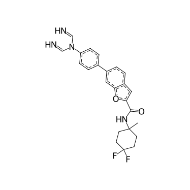 CC1(NC(=O)c2cc3ccc(-c4ccc(N(C=N)C=N)cc4)cc3o2)CCC(F)(F)CC1